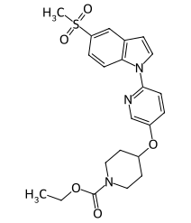 CCOC(=O)N1CCC(Oc2ccc(-n3ccc4cc(S(C)(=O)=O)ccc43)nc2)CC1